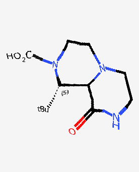 CC(C)(C)[C@H]1C2C(=O)NCCN2CCN1C(=O)O